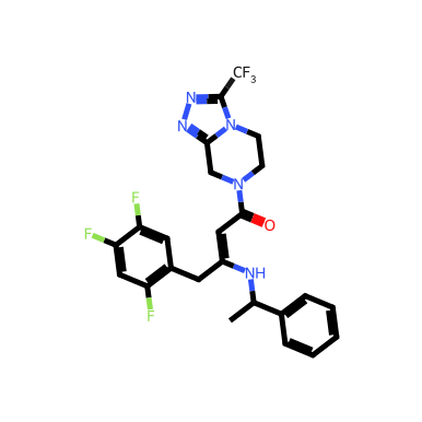 CC(N/C(=C\C(=O)N1CCn2c(nnc2C(F)(F)F)C1)Cc1cc(F)c(F)cc1F)c1ccccc1